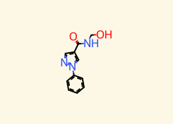 O=C(NCO)c1cnn(-c2ccccc2)c1